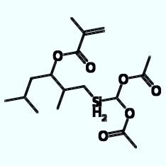 C=C(C)C(=O)OC(CC(C)C)C(C)C[SiH2]C(OC(C)=O)OC(C)=O